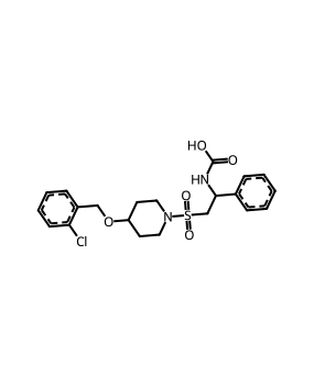 O=C(O)NC(CS(=O)(=O)N1CCC(OCc2ccccc2Cl)CC1)c1ccccc1